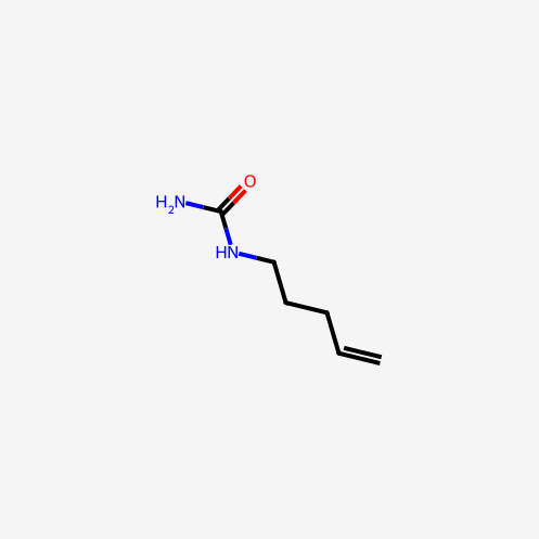 C=CCCCNC(N)=O